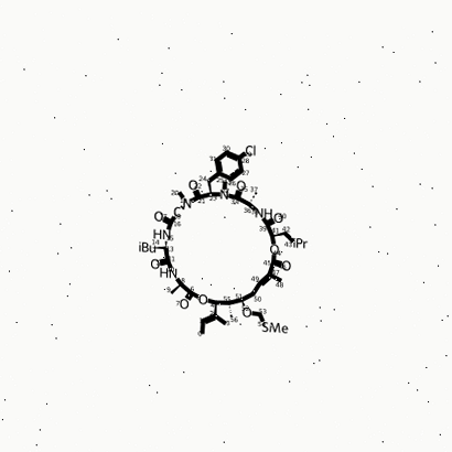 C/C=C(\C)[C@H]1OC(=O)[C@@H](C)NC(=O)[C@H]([C@H](C)CC)NC(=O)CN(C)C(=O)[C@@H](Cc2ccc(Cl)cc2)N(C)C(=O)[C@H](C)NC(=O)[C@@H](CC(C)C)OC(=O)/C(C)=C/C[C@H](OCSC)[C@@H]1C